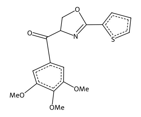 COc1cc(C(=O)C2COC(c3cccs3)=N2)cc(OC)c1OC